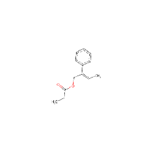 C/C=C(/COC(=O)CC)c1ccccc1